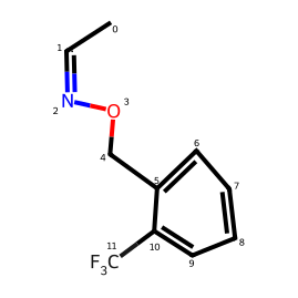 C/[C]=N\OCc1ccccc1C(F)(F)F